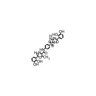 C[C@@H](OC(=O)c1cccc(O)c1O)[C@H](N)C(=O)Nc1ccc(S(=O)(=O)N/C(N)=N\C(=O)c2cccc(O)c2O)cc1